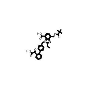 CCc1nc2c(COC(=O)C(C)(C)C)ccc(C(=O)O)c2n1Cc1ccc(-c2ccccc2C(=O)C(=O)O)cc1